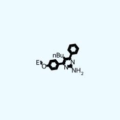 CCCCc1c(-c2ccccc2)nc(N)nc1-c1ccc(OCC)cc1